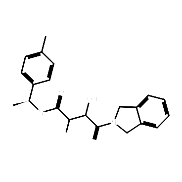 Cc1ccc([C@H](C)NC(=O)C(O)C(O)C(=O)N2Cc3ccccc3C2)cc1